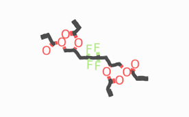 C=CC(=O)OCC(CC(F)(F)C(F)(F)CC(COC(=O)C=C)OC(=O)C=C)OC(=O)C=C